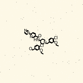 CCOc1cc(C=O)ccc1Cl.CCOc1cc(CN2CCC(NC(=O)c3ccc(-n4ccnc4)nc3)CC2)ccc1Cl